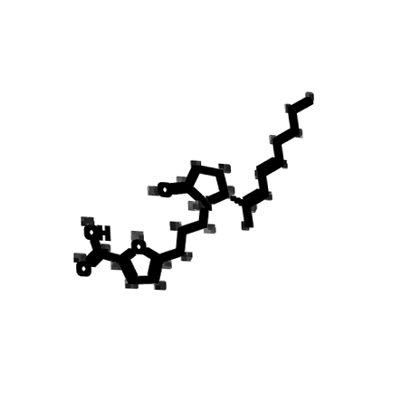 CCCC/C=C/C=C(/C)[C@H]1CCC(=O)N1CCCc1ccc(C(=O)O)o1